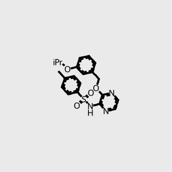 Cc1ccc(S(=O)(=O)Nc2nccnc2OCc2cccc(OC(C)C)c2)cc1